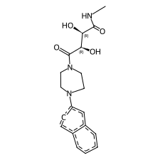 CNC(=O)[C@H](O)[C@@H](O)C(=O)N1CCN(c2ccc3ccccc3c2)CC1